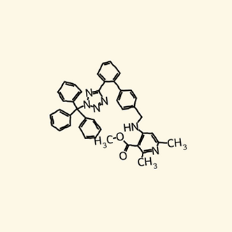 COC(=O)c1c(NCc2ccc(-c3ccccc3-c3nnn(C(c4ccccc4)(c4ccccc4)c4ccccc4)n3)cc2)cc(C)nc1C